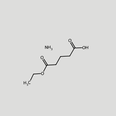 CCOC(=O)CCCC(=O)O.N